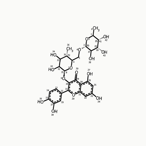 CC1O[C@@H](OCC2O[C@@H](Oc3c(-c4ccc(O)c(O)c4)oc4cc(O)cc(O)c4c3=O)C(O)C(O)[C@@H]2C)C(O)[C@@H](O)[C@H]1O